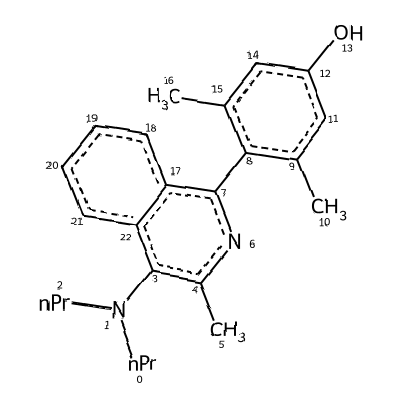 CCCN(CCC)c1c(C)nc(-c2c(C)cc(O)cc2C)c2ccccc12